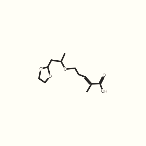 C/C(=C\CCOC(C)CC1OCCO1)C(=O)O